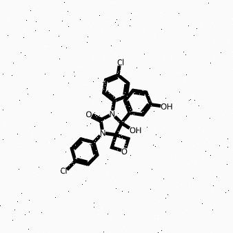 O=C1N(c2ccc(Cl)cc2)C2(COC2)C(O)(c2cccc(O)c2)N1c1ccc(Cl)cc1